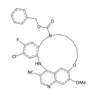 COc1cc2ncc(C#N)c3c2cc1OCCCCCN(C(=O)OCc1ccccc1)Cc1cc(F)c(Cl)cc1N3